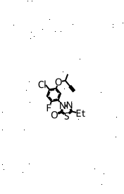 C#CC(C)Oc1cc(-n2nc(CC)sc2=O)c(F)cc1Cl